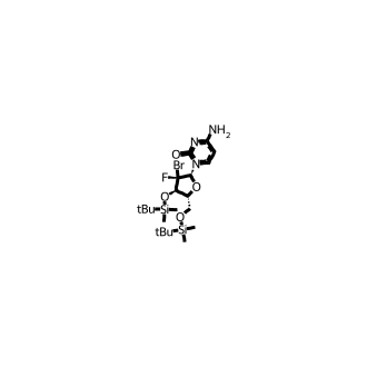 CC(C)(C)[Si](C)(C)OC[C@H]1O[C@@H](n2ccc(N)nc2=O)[C@@](F)(Br)[C@@H]1O[Si](C)(C)C(C)(C)C